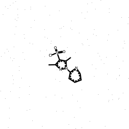 Cc1nn(-c2ccccn2)c(C)c1S(=O)(=O)Cl